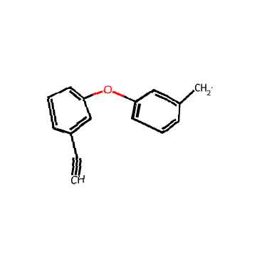 C#Cc1cccc(Oc2cccc([CH2])c2)c1